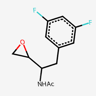 CC(=O)NC(Cc1cc(F)cc(F)c1)C1CO1